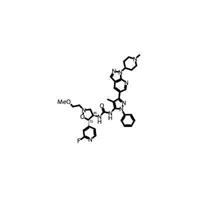 COCCN1C[C@@H](NC(=O)Nc2c(C)c(-c3cnc4c(cnn4C4CCN(C)CC4)c3)nn2-c2ccccc2)[C@H](c2ccnc(F)c2)O1